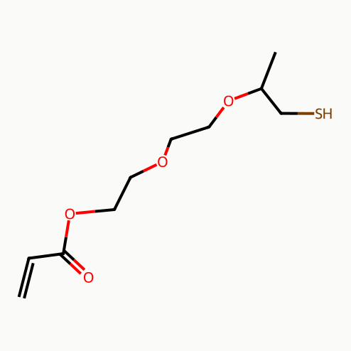 C=CC(=O)OCCOCCOC(C)CS